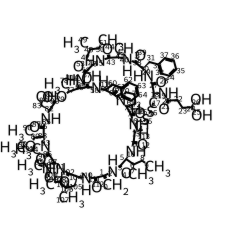 C=C1NC(=O)[C@H]([C@@H](C)CC)NC(=O)[C@@H]2CSSC[C@H](NC(=O)CCC(O)O)C(=O)N[C@H](Cc3ccccc3)C(=O)N[C@H](C)C(=O)N[C@@H](C[C@@H](C)CC)C(=O)N[C@@H](C(=O)N[C@H](Cc3ccccc3)C(=O)N3CCC[C@H]3C(=O)N2)[C@@H](C)OC(=O)[C@H](CO)NC(=O)[C@H]([C@@H](C)OC)N(C)C(=O)C(N(C)C)NC(=O)[C@H](C[C@H](C)CC)NC1=O